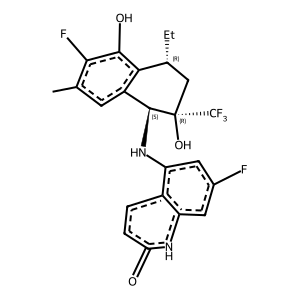 CC[C@@H]1C[C@](O)(C(F)(F)F)[C@@H](Nc2cc(F)cc3[nH]c(=O)ccc23)c2cc(C)c(F)c(O)c21